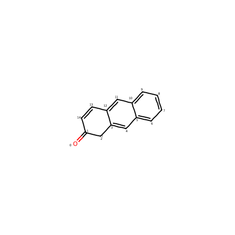 O=C1[C]c2cc3ccccc3cc2C=C1